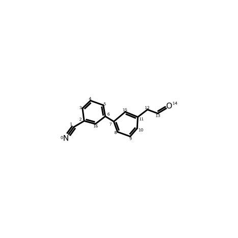 N#Cc1cccc(-c2cccc(CC=O)c2)c1